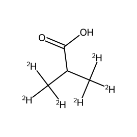 [2H]C([2H])([2H])C(C(=O)O)C([2H])([2H])[2H]